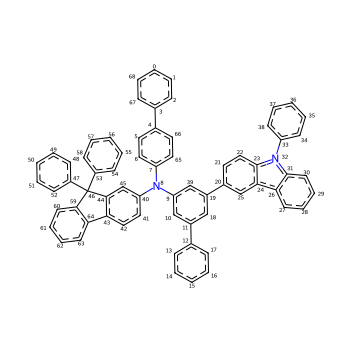 c1ccc(-c2ccc(N(c3cc(-c4ccccc4)cc(-c4ccc5c(c4)c4ccccc4n5-c4ccccc4)c3)c3ccc4c(c3)C(c3ccccc3)(c3ccccc3)c3ccccc3-4)cc2)cc1